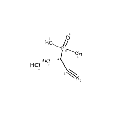 Cl.Cl.N#CCP(=O)(O)O